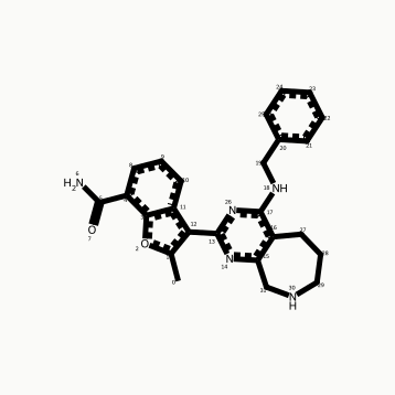 Cc1oc2c(C(N)=O)cccc2c1-c1nc2c(c(NCc3ccccc3)n1)CCCNC2